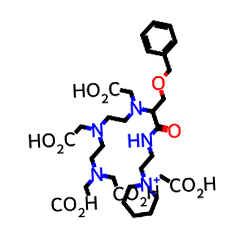 O=C(O)CN(CCN(CC(=O)O)CC(=O)O)CCN(CC(=O)O)C(COCc1ccccc1)C(=O)NCC[N+]1(CC(=O)O)CCCCC1